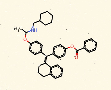 CC(NCC1CCCCC1)Oc1ccc(C(=C2CCCc3ccccc32)c2ccc(OC(=O)c3ccccc3)cc2)cc1